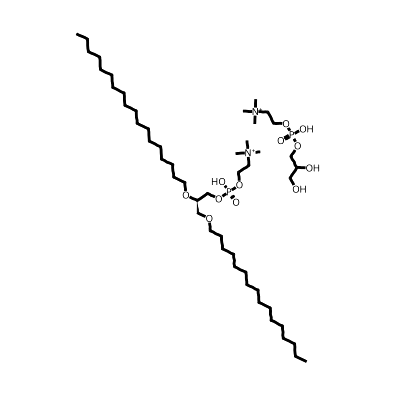 CCCCCCCCCCCCCCCCCCO[C@H](COCCCCCCCCCCCCCCCC)COP(=O)(O)OCC[N+](C)(C)C.C[N+](C)(C)CCOP(=O)(O)OCC(O)CO